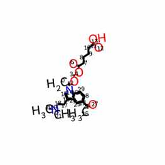 C=C(OCOC(=O)CCCCC(=O)O)n1cc(CCN(C)C)c2cc(C(C)=O)ccc21